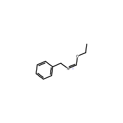 CCO/C=N\Cc1ccccc1